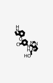 OCCn1ccc2ncnc(Nc3ccc(Oc4cccc5[nH]ccc45)c(Cl)c3)c21